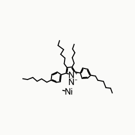 CCCCCCC1=C(c2ccc(CCCCCC)cc2)[N+](=[N-])C(c2ccc(CCCCCC)cc2)=C1CCCCC.[CH3][Ni][CH3]